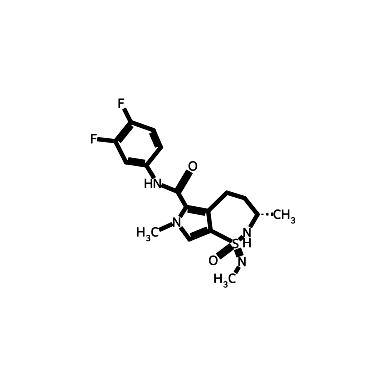 CN=S1(=O)N[C@@H](C)CCc2c1cn(C)c2C(=O)Nc1ccc(F)c(F)c1